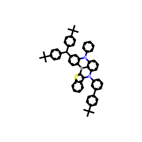 CC(C)(C)c1ccc(-c2cccc(N3c4cccc5c4B(c4ccc(C(c6ccc(C(C)(C)C)cc6)c6ccc(C(C)(C)C)cc6)cc4N5c4ccccc4)c4sc5ccccc5c43)c2)cc1